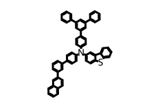 c1ccc(-c2cc(-c3ccccc3)cc(-c3ccc(N(c4ccc(-c5cccc(-c6ccc7ccccc7c6)c5)cc4)c4ccc5sc6ccccc6c5c4)cc3)c2)cc1